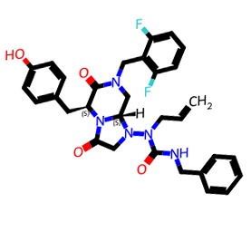 C=CCN(C(=O)NCc1ccccc1)N1CC(=O)N2[C@@H](Cc3ccc(O)cc3)C(=O)N(Cc3c(F)cccc3F)C[C@@H]21